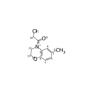 Cc1ccc2c(c1)N(C(=O)CCl)CCO2